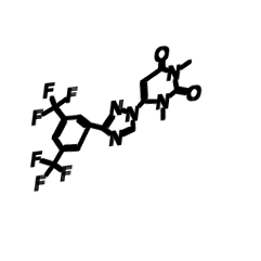 Cn1c(-n2cnc(-c3cc(C(F)(F)F)cc(C(F)(F)F)c3)n2)cc(=O)n(C)c1=O